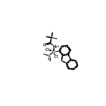 C[SiH](C)[Zr]([Cl])([Cl])([NH]C(=O)C(C)(C)C)[c]1cccc2c1Cc1ccccc1-2